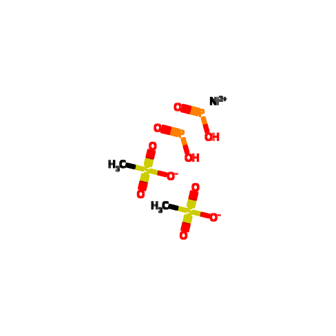 CS(=O)(=O)[O-].CS(=O)(=O)[O-].O=PO.O=PO.[Ni+2]